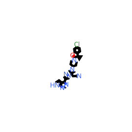 N#CCC1(n2cc(-c3ncnc4[nH]ccc34)cn2)CN(C2CCN(C(=O)C3(c4ccc(Cl)cc4)CC3)CC2)C1